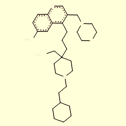 COc1ccc2ncc(CN3CCOCC3)c(CCCC3(CC(=O)O)CCN(CCC4CCCCC4)CC3)c2c1